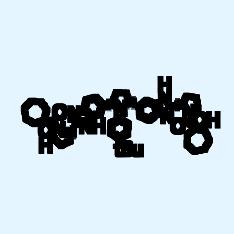 CC(C)(C)c1ccc(N2[C@@H](c3ccc4nc([C@@H]5CCCN5C(=O)C5(O)CCCCCC5)[nH]c4c3)CC[C@@H]2c2ccc3nc([C@@H]4CCCN4C(=O)C4(O)CCCCCC4)[nH]c3c2)cc1